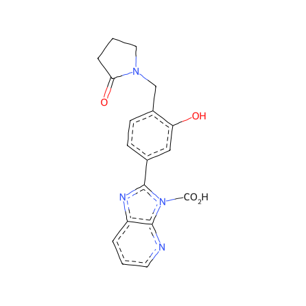 O=C1CCCN1Cc1ccc(-c2nc3cccnc3n2C(=O)O)cc1O